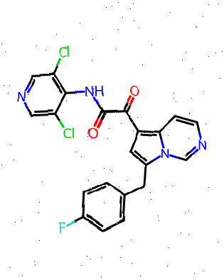 O=C(Nc1c(Cl)cncc1Cl)C(=O)c1cc(Cc2ccc(F)cc2)n2cnccc12